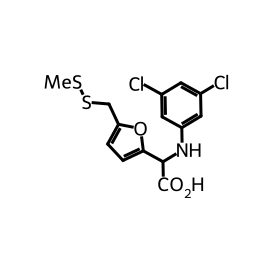 CSSCc1ccc(C(Nc2cc(Cl)cc(Cl)c2)C(=O)O)o1